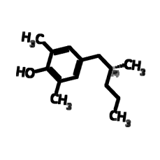 CCC[C@@H](C)Cc1cc(C)c(O)c(C)c1